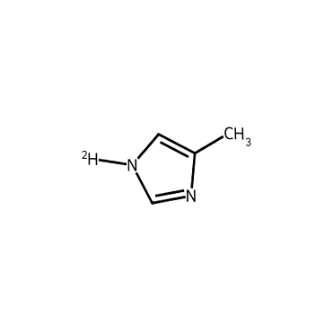 [2H]n1cnc(C)c1